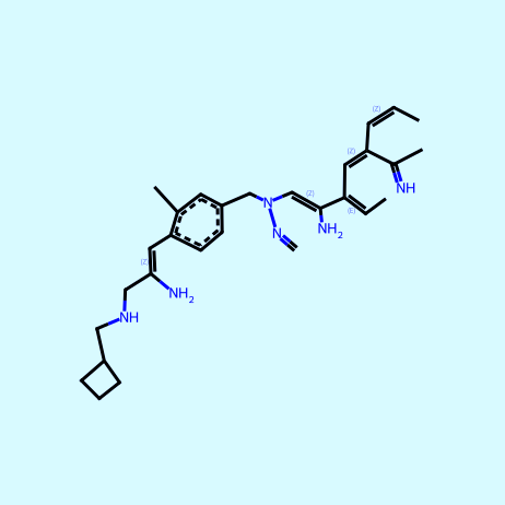 C=NN(/C=C(N)/C(/C=C(/C=C\C)C(C)=N)=C/C)Cc1ccc(/C=C(\N)CNCC2CCC2)c(C)c1